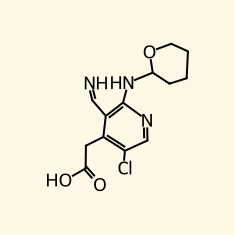 N=Cc1c(NC2CCCCO2)ncc(Cl)c1CC(=O)O